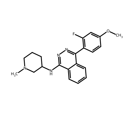 COc1ccc(-c2nnc(NC3CCCN(C)C3)c3ccccc23)c(F)c1